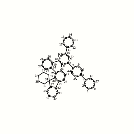 c1ccc(-c2ccc(-c3nc(-c4ccccc4)nc(-c4ccccc4-c4cccc5c4C4(CCCCC4)c4ccccc4-5)n3)cc2)cc1